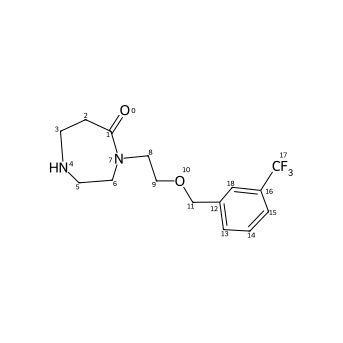 O=C1CCNCCN1CCOCc1cccc(C(F)(F)F)c1